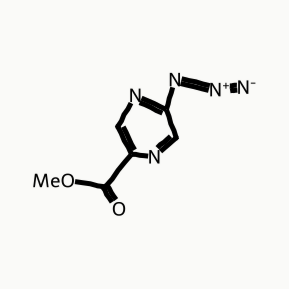 COC(=O)c1cnc(N=[N+]=[N-])cn1